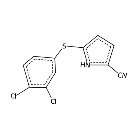 N#Cc1ccc(Sc2ccc(Cl)c(Cl)c2)[nH]1